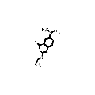 CCOc1nc2ccc(N(C)C)cc2c(=O)o1